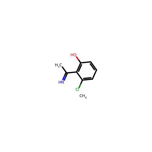 C.CC(=N)c1c(O)cccc1Cl